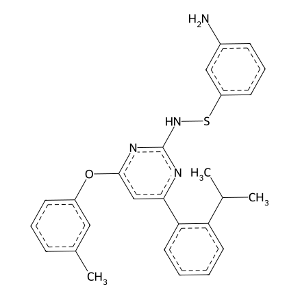 Cc1cccc(Oc2cc(-c3ccccc3C(C)C)nc(NSc3cccc(N)c3)n2)c1